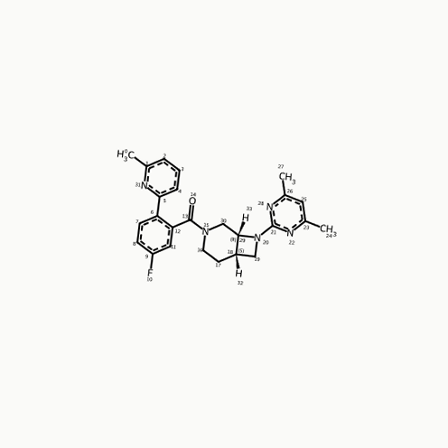 Cc1cccc(-c2ccc(F)cc2C(=O)N2CC[C@H]3CN(c4nc(C)cc(C)n4)[C@H]3C2)n1